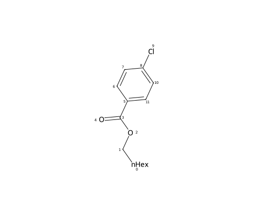 CCCCCCCOC(=O)c1ccc(Cl)cc1